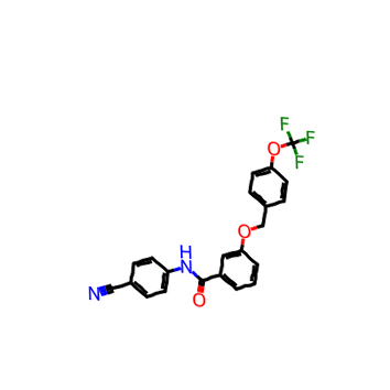 N#Cc1ccc(NC(=O)c2cccc(OCc3ccc(OC(F)(F)F)cc3)c2)cc1